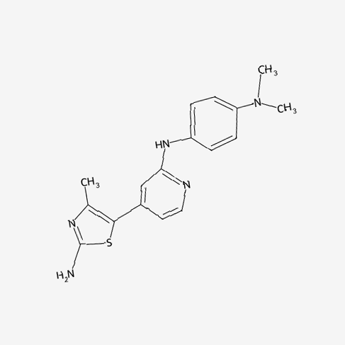 Cc1nc(N)sc1-c1ccnc(Nc2ccc(N(C)C)cc2)c1